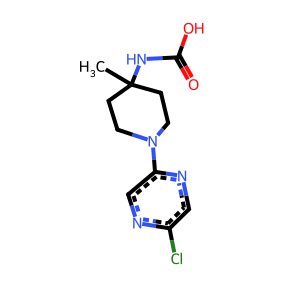 CC1(NC(=O)O)CCN(c2cnc(Cl)cn2)CC1